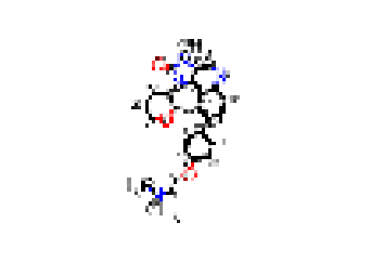 CN(C)CCOc1ccc(-c2ccc3ncc4c(c3c2)n([C@H]2CCCOC2)c(=O)n4C)cc1